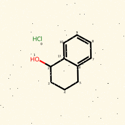 Cl.OC1CCCc2ccccc21